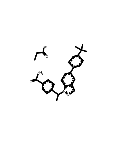 CC(c1ccc(C(N)=O)cc1)n1ncc2cc(-c3ccc(C(C)(C)C)cc3)ccc21.CCC(=O)O